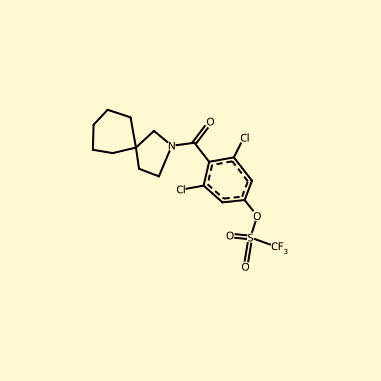 O=C(c1c(Cl)cc(OS(=O)(=O)C(F)(F)F)cc1Cl)N1CCC2(CCCCC2)C1